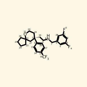 Fc1cc(F)cc(CNCC[C@@]2(c3ccc(C(F)(F)F)cc3)CCOC3(CCCC3)C2)c1